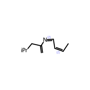 C=C(CC(C)C)/N=C\C=C/C